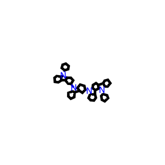 c1ccc(-n2c3ccccc3c3cc(-n4c5ccccc5c5cc(-n6c7ccccc7c7c6ccc6c8ccccc8n(-c8ccccc8)c67)ccc54)ccc32)cc1